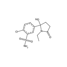 CCN1C(=O)CCC1(O)c1ccc(Cl)c(S(N)(=O)=O)c1